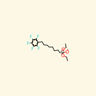 CCO[Si](CCCCCCCCc1c(F)c(F)c(F)c(F)c1F)(OC)OCC